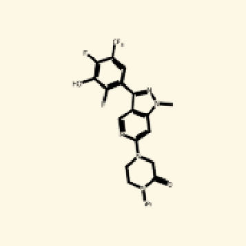 CC(C)N1CCN(c2cc3c(cn2)c(-c2cc(C(F)(F)F)c(F)c(O)c2F)nn3C)CC1=O